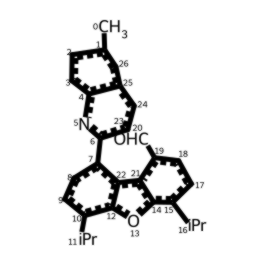 Cc1ccc2nc(-c3ccc(C(C)C)c4oc5c(C(C)C)ccc(C=O)c5c34)ccc2c1